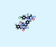 C=C1NC(=O)N(Cc2cccc(/C=C3/NC(=O)N(Cc4ccc(C)cc4)c4nc(Br)[nH]c43)c2)c2nc(-c3ccc(Cl)cc3)n(C)c21